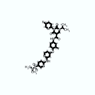 CC(C)n1cc(C(=O)Nc2ccc(Oc3ccnc(Nc4ccc(S(=O)(=O)N(C)C)cn4)c3)c(F)c2)c(=O)n(-c2ccc(F)cn2)c1=O